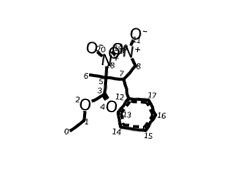 CCOC(=O)C(C)(C(C[N+](=O)[O-])c1ccccc1)[N+](=O)[O-]